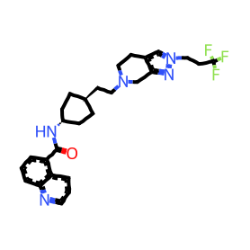 O=C(N[C@H]1CC[C@H](CCN2CCc3cn(CCC(F)(F)F)nc3C2)CC1)c1cccc2ncccc12